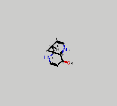 O=C1C=CNC23C[C@@H]2C=CN=C13